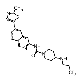 Cc1nnc(-c2ccc3cnc(NC(=O)N4CCC(NCCC(F)(F)F)CC4)nc3c2)s1